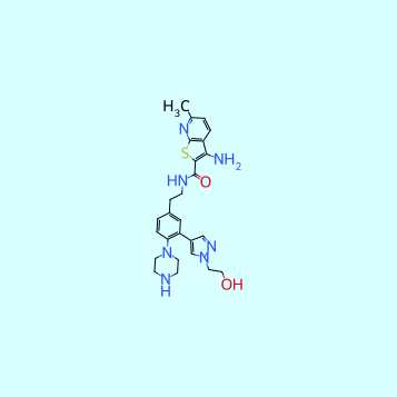 Cc1ccc2c(N)c(C(=O)NCCc3ccc(N4CCNCC4)c(-c4cnn(CCO)c4)c3)sc2n1